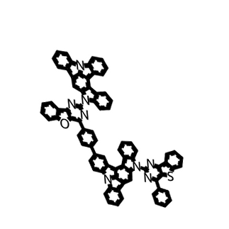 c1ccc(-c2nc(-n3c4ccccc4c4c5c6cc(-c7ccc(-c8nc(-n9c%10ccccc%10c%10c%11c%12ccccc%12n%12c%13ccccc%13c(cc%109)c%11%12)nc9c8oc8ccccc89)cc7)ccc6n6c7ccccc7c(cc43)c56)nc3c2sc2ccccc23)cc1